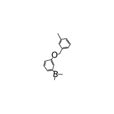 CB(C)c1cccc(OCc2cccc(C)c2)c1